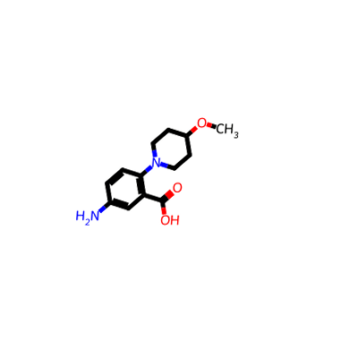 COC1CCN(c2ccc(N)cc2C(=O)O)CC1